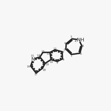 C1=CC=CNC=C1.c1ccc2c(c1)Cc1ncccc1-2